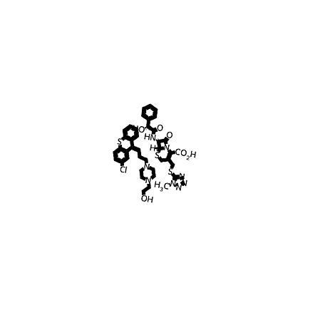 Cn1nnnc1SCC1=C(C(=O)O)N2C(=O)[C@@H](NC(=O)[C@H](O)c3ccccc3)[C@H]2SC1.OCCN1CCN(CCC=C2c3ccccc3Sc3ccc(Cl)cc32)CC1